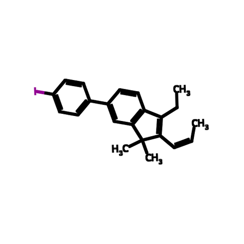 C/C=C\C1=C(CC)c2ccc(-c3ccc(I)cc3)cc2C1(C)C